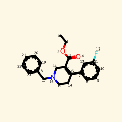 CCOC(=O)C1=C(c2cccc(F)c2)CCN(Cc2ccccc2)C1